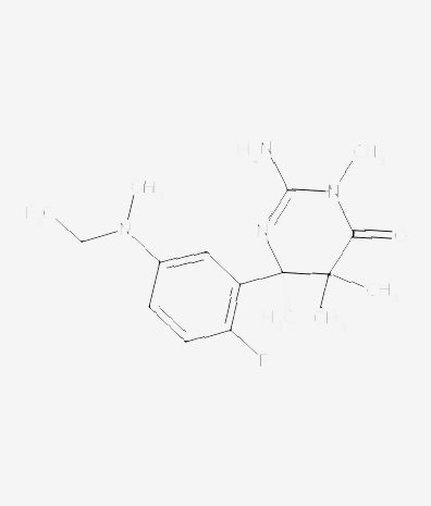 CN1C(=O)C(C)(C)[C@@](C)(c2cc(N(C)CC(F)(F)F)ccc2F)N=C1N